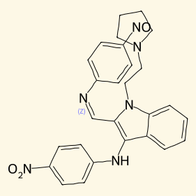 O=Nc1ccc(/N=C\c2c(Nc3ccc([N+](=O)[O-])cc3)c3ccccc3n2CCN2CCCC2)cc1